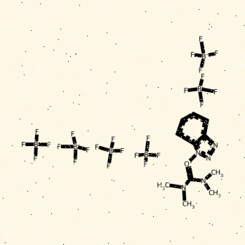 CN(C)C(=[O+]n1nnc2ccccc21)N(C)C.F[B-](F)(F)F.F[B-](F)(F)F.F[B-](F)(F)F.F[B-](F)(F)F.F[B-](F)(F)F.F[B-](F)(F)F